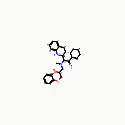 CN(CC1COc2ccccc2O1)C(C(=O)C1CCCCC1)C1CCc2ccccc2N1